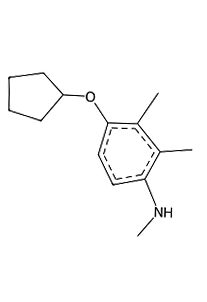 CNc1ccc(OC2CCCC2)c(C)c1C